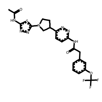 CC(=O)Nc1nnc(N2CCC(c3ccc(NC(=O)Cc4cccc(OC(F)(F)F)c4)nn3)C2)s1